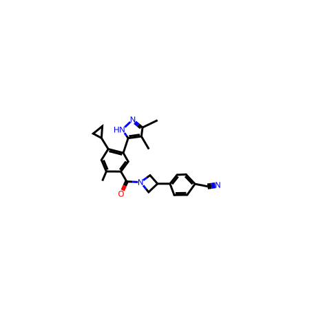 Cc1cc(C2CC2)c(-c2[nH]nc(C)c2C)cc1C(=O)N1CC(c2ccc(C#N)cc2)C1